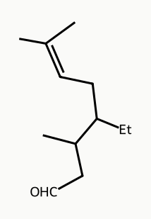 CCC(CC=C(C)C)C(C)CC=O